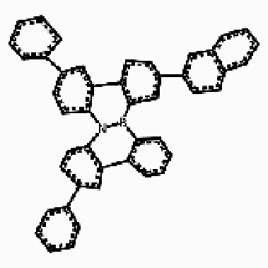 c1ccc(-c2ccc3c(c2)-c2ccccc2B2c4cc(-c5ccc6ccccc6c5)ccc4-c4cc(-c5ccccc5)ccc4N23)cc1